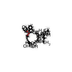 C=C[C@@H]1C[C@]1(NC(=O)[C@@H]1C[C@@H]2CN1C(=O)[C@H](C(C)(C)C)NC(=O)O[C@@H]1C[C@H]1CCCCCc1c(nc3ccccc3c1OC1C3COCC1CN(CC1CC1)C3)O2)C(=O)NS(=O)(=O)C1(C)CC1.O=CO